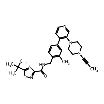 CC#CN1CCN(c2cnccc2-c2ccc(CNC(=O)c3noc(C(C)(C)C)n3)c(C)c2)CC1